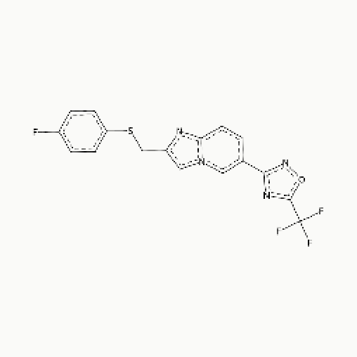 Fc1ccc(SCc2cn3cc(-c4noc(C(F)(F)F)n4)ccc3n2)cc1